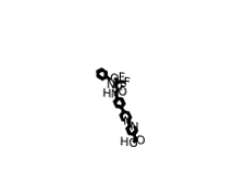 O=C(O)c1ccc(N2CCC(c3ccc(NC(=O)c4nc(-c5ccccc5)oc4C(F)(F)F)cc3)CC2)nc1